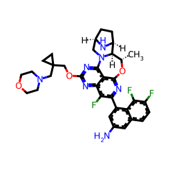 C[C@@H]1Oc2nc(-c3cc(N)cc4ccc(F)c(F)c34)c(F)c3nc(OCC4(CN5CCOCC5)CC4)nc(c23)N2C[C@H]3CC[C@H](N3)[C@@H]12